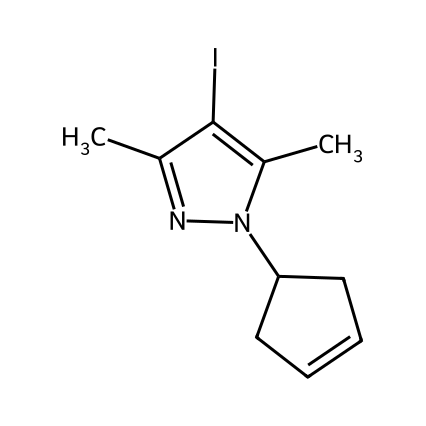 Cc1nn(C2CC=CC2)c(C)c1I